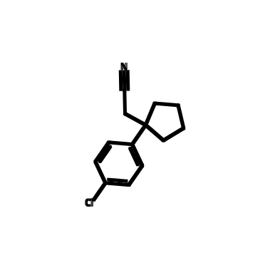 N#CCC1(c2ccc(Cl)cc2)CCCC1